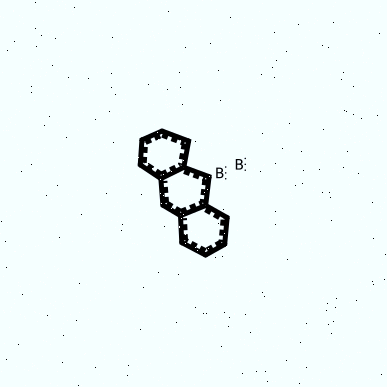 [B].[B].c1ccc2cc3ccccc3cc2c1